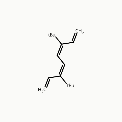 C=C/C(=C\C=C(/C=C)C(C)(C)C)C(C)(C)C